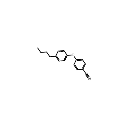 CCCCc1ccc(Oc2ccc(C#N)cc2)cc1